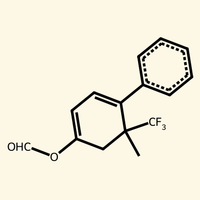 CC1(C(F)(F)F)CC(OC=O)=CC=C1c1ccccc1